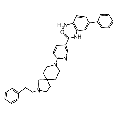 Nc1ccc(-c2ccccc2)cc1NC(=O)c1ccc(N2CCC3(CCN(CCc4ccccc4)C3)CC2)nc1